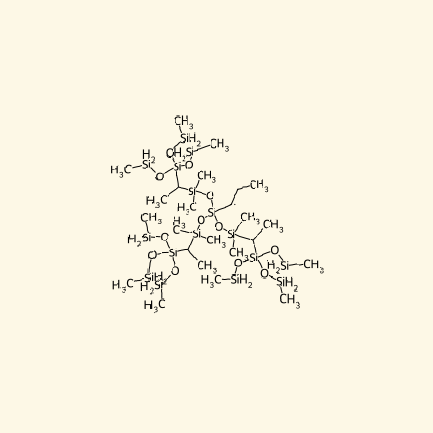 CC[CH][Si](O[Si](C)(C)C(C)[Si](O[SiH2]C)(O[SiH2]C)O[SiH2]C)(O[Si](C)(C)C(C)[Si](O[SiH2]C)(O[SiH2]C)O[SiH2]C)O[Si](C)(C)C(C)[Si](O[SiH2]C)(O[SiH2]C)O[SiH2]C